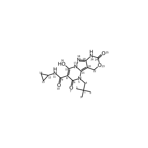 CC(C)(C)Cn1c(=O)c(C(=O)NC2CC2)c(O)n2nc3c(c12)COC(=O)N3